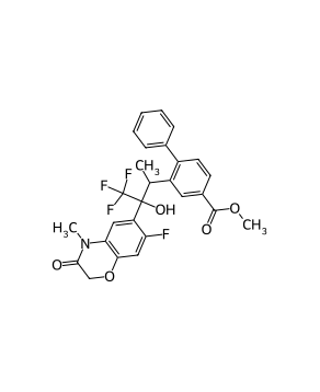 COC(=O)c1ccc(-c2ccccc2)c(C(C)C(O)(c2cc3c(cc2F)OCC(=O)N3C)C(F)(F)F)c1